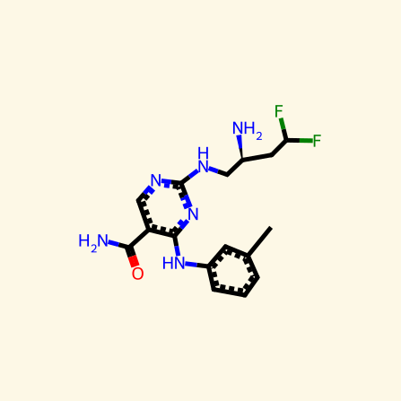 Cc1cccc(Nc2nc(NC[C@@H](N)CC(F)F)ncc2C(N)=O)c1